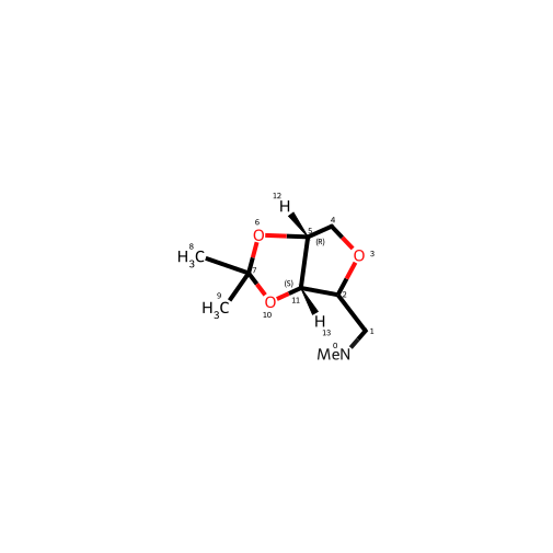 CNCC1OC[C@H]2OC(C)(C)O[C@@H]12